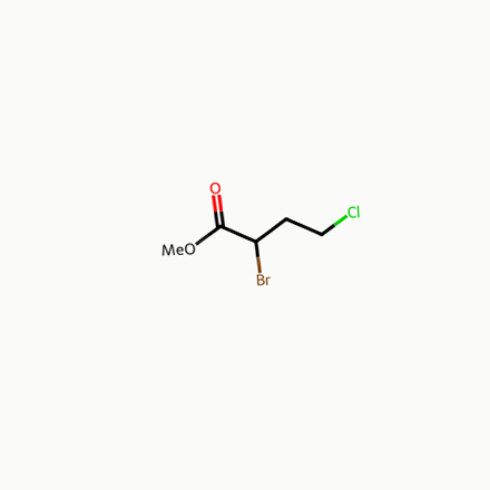 COC(=O)C(Br)CCCl